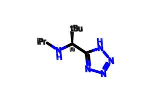 CC(C)N[C@H](c1nnn[nH]1)C(C)(C)C